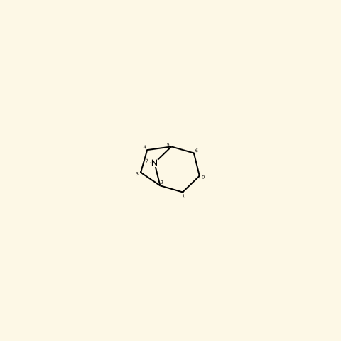 [CH]1CC2CCC(C1)[N]2